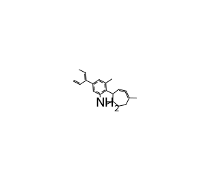 C=C/C(=C\C)c1cc(C)c(C2C=C=C(C)CCC2C)c(N)c1